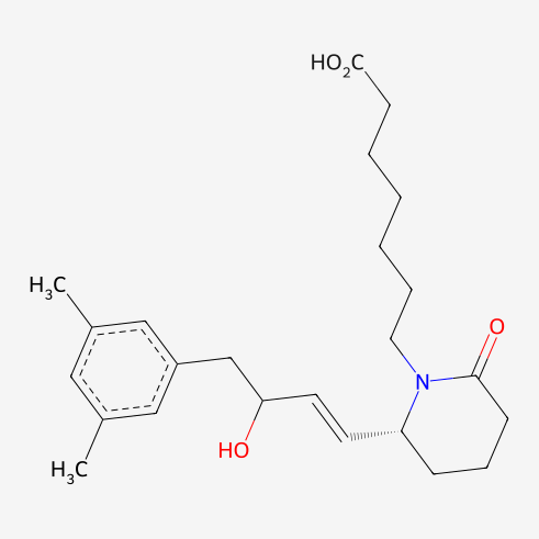 Cc1cc(C)cc(CC(O)/C=C/[C@H]2CCCC(=O)N2CCCCCCC(=O)O)c1